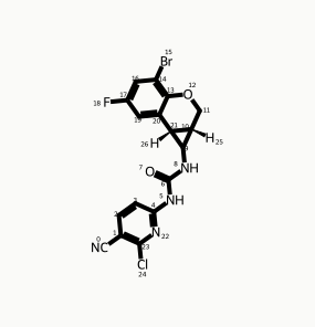 N#Cc1ccc(NC(=O)NC2[C@H]3COc4c(Br)cc(F)cc4[C@@H]23)nc1Cl